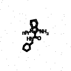 CCCn1c(C(=O)NCC2CCCCC2)c(N)c2ccccc21